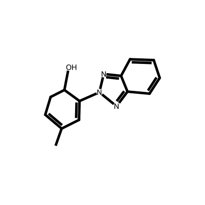 CC1=CCC(O)C(n2nc3ccccc3n2)=C1